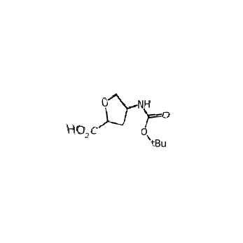 CC(C)(C)OC(=O)NC1COC(C(=O)O)C1